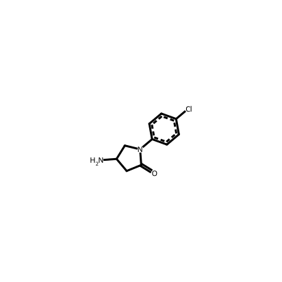 NC1CC(=O)N(c2ccc(Cl)cc2)C1